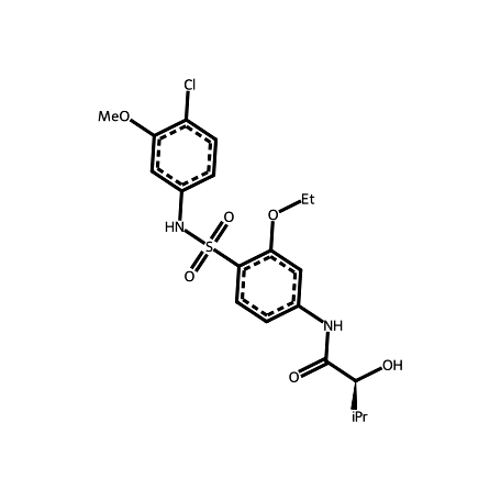 CCOc1cc(NC(=O)[C@@H](O)C(C)C)ccc1S(=O)(=O)Nc1ccc(Cl)c(OC)c1